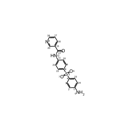 Nc1ccc(S(=O)(=O)c2ccc(NC(=O)c3cccnc3)cc2)cc1